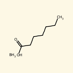 B.CCCCCCC(=O)O